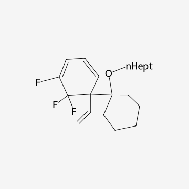 C=CC1(C2(OCCCCCCC)CCCCC2)C=CC=C(F)C1(F)F